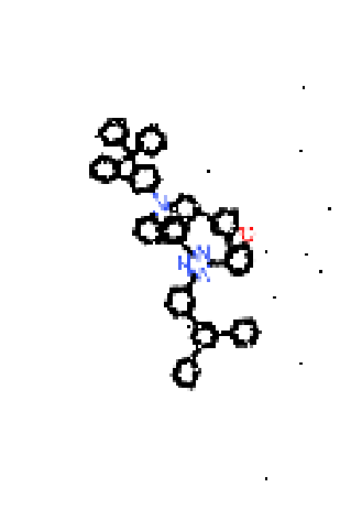 c1ccc(-c2cc(-c3ccccc3)cc(-c3cccc(-c4nc(-c5ccccc5)nc(-c5cccc6oc7ccc(-c8ccc9c(c8)c8ccccc8n9-c8ccc9c(c8)-c8ccccc8C9(c8ccccc8)c8ccccc8)cc7c56)n4)c3)c2)cc1